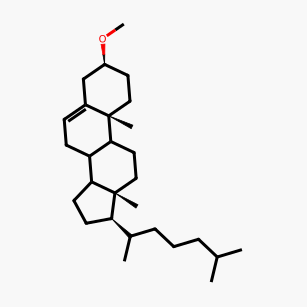 CO[C@H]1CC[C@@]2(C)C(=CCC3C2CC[C@@]2(C)C3CC[C@@H]2C(C)CCCC(C)C)C1